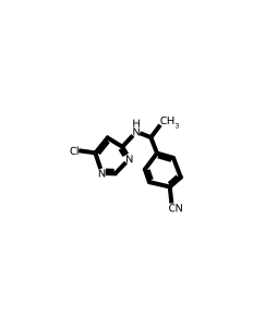 CC(Nc1cc(Cl)ncn1)c1ccc(C#N)cc1